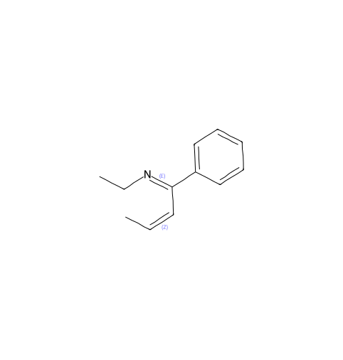 C/C=C\C(=N/CC)c1ccccc1